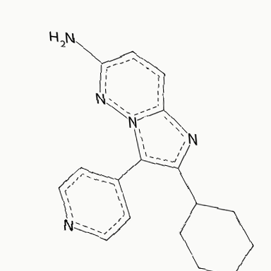 Nc1ccc2nc(C3CCCCC3)c(-c3ccncc3)n2n1